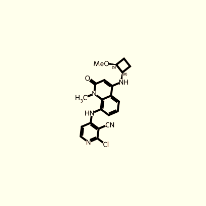 CO[C@H]1CC[C@H]1Nc1cc(=O)n(C)c2c(Nc3ccnc(Cl)c3C#N)cccc12